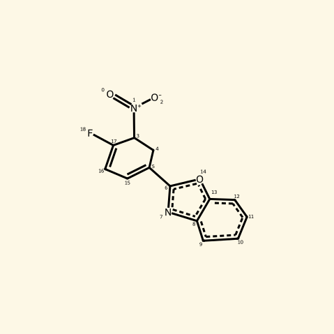 O=[N+]([O-])C1CC(c2nc3ccccc3o2)=CC=C1F